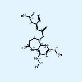 C=C/C(=C\C(=C)CN1CCC(=O)NC2=C(NN=N)N=C(OCCCC)NC21)CN(C)CCC